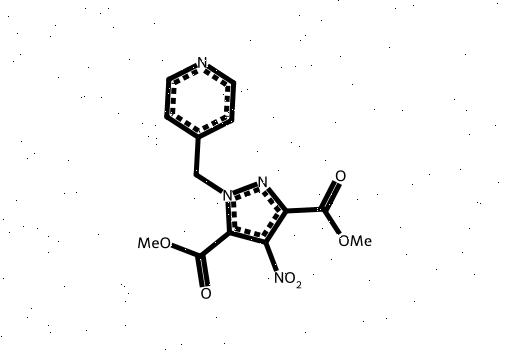 COC(=O)c1nn(Cc2ccncc2)c(C(=O)OC)c1[N+](=O)[O-]